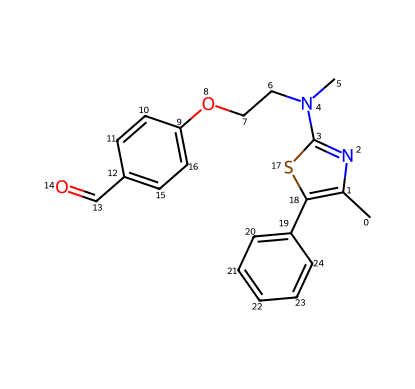 Cc1nc(N(C)CCOc2ccc(C=O)cc2)sc1-c1ccccc1